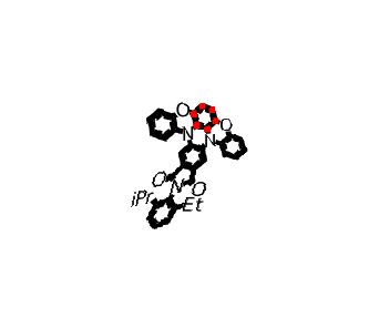 CCc1cccc(C(C)C)c1N1C(=O)c2cc(N3c4ccccc4Oc4ccccc43)c(N3c4ccccc4Oc4ccccc43)cc2C1=O